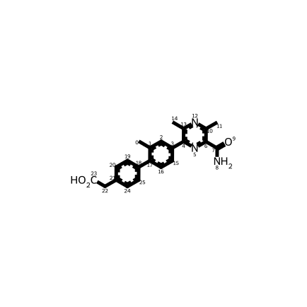 Cc1cc(-c2nc(C(N)=O)c(C)nc2C)ccc1-c1ccc(CC(=O)O)cc1